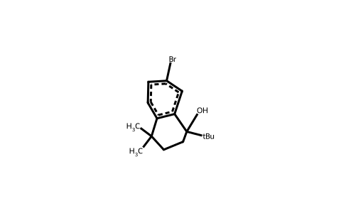 CC1(C)CCC(O)(C(C)(C)C)c2cc(Br)ccc21